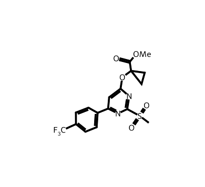 COC(=O)C1(Oc2cc(-c3ccc(C(F)(F)F)cc3)nc(S(C)(=O)=O)n2)CC1